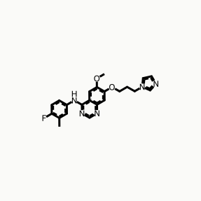 COc1cc2c(Nc3ccc(F)c(C)c3)ncnc2cc1OCCCn1ccnc1